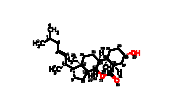 CC(C)C/C=C/[C@@H](C)[C@H]1CC[C@@H]2[C@@H]3OC(=O)[C@@H]4C[C@@H](O)CC[C@]4(C)[C@@H]3CC[C@@]21C